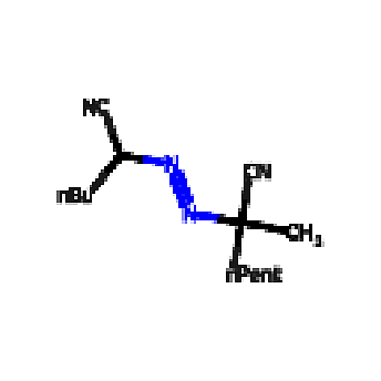 CCCCCC(C)(C#N)N=NC(C#N)CCCC